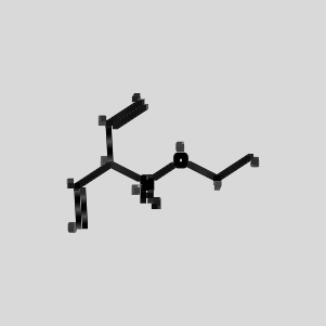 C=CC(C=C)[SiH2]OCC